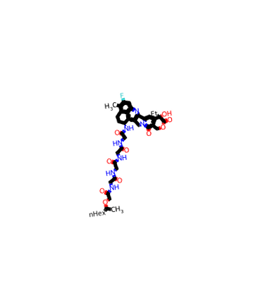 CCCCCCC(C)OCC(=O)NCC(=O)NCC(=O)NCC(=O)NCC(=O)N[C@H]1CCc2c(C)c(F)cc3nc4c(c1c23)Cn1c-4cc2c(c1=O)COC(=O)[C@]2(O)CC